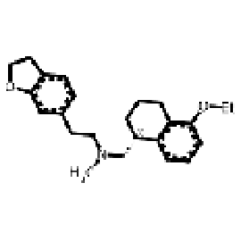 CCOc1cccc2c1CCC[C@H]2CN(C)CCc1ccc2c(c1)OCC2